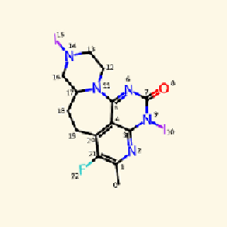 Cc1nc2c3c(nc(=O)n2I)N2CCN(I)CC2CCc3c1F